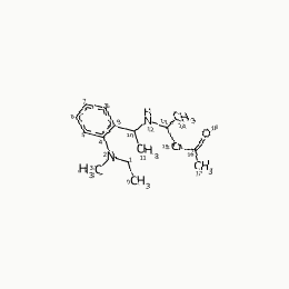 CCN(C)c1ccccc1C(C)NC(C)OC(C)=O